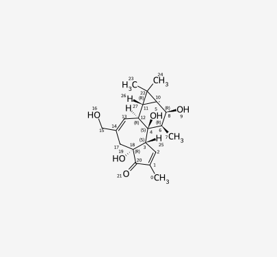 CC1=C[C@H]2[C@@]3(O)[C@H](C)[C@H](O)[C]4[C@H]([C@@H]3C=C(CO)C[C@]2(O)C1=O)C4(C)C